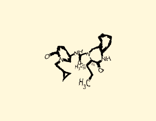 CC[C@H](C)[C@H]1C(=O)Nc2ccccc2CN1C(=O)Nc1ccc(=O)n(CC2CC2)c1